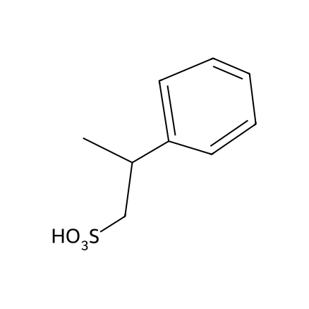 CC(CS(=O)(=O)O)c1ccccc1